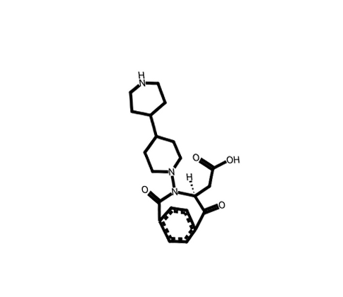 O=C(O)C[C@H]1C(=O)c2ccc(cc2)C(=O)N1N1CCC(C2CCNCC2)CC1